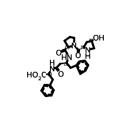 O=C(C[C@H](Cc1ccccc1)NC(=O)[C@@H]1CCCN1C(=O)[C@@H]1C[C@@H](O)CN1)N[C@@H](Cc1ccccc1)C(=O)O